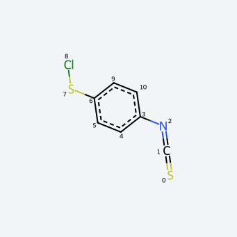 S=C=Nc1ccc(SCl)cc1